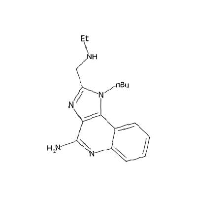 [CH2]CCCn1c(CNCC)nc2c(N)nc3ccccc3c21